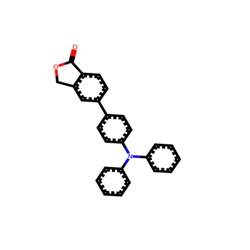 O=C1OCc2cc(-c3ccc(N(c4ccccc4)c4ccccc4)cc3)ccc21